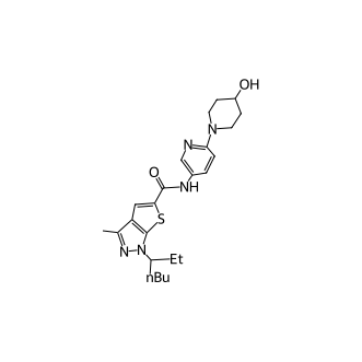 CCCCC(CC)n1nc(C)c2cc(C(=O)Nc3ccc(N4CCC(O)CC4)nc3)sc21